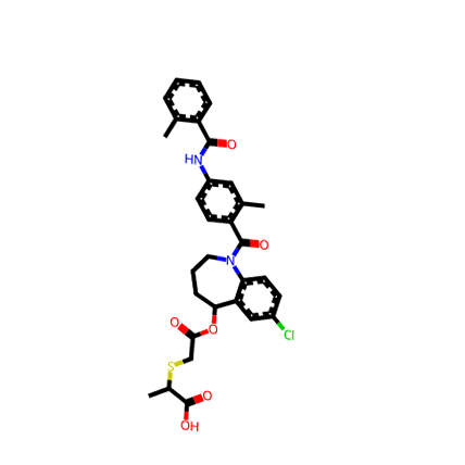 Cc1ccccc1C(=O)Nc1ccc(C(=O)N2CCCC(OC(=O)CSC(C)C(=O)O)c3cc(Cl)ccc32)c(C)c1